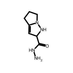 NNC(=O)C1C=C2CCCN2N1